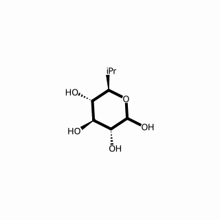 CC(C)[C@H]1OC(O)[C@H](O)[C@@H](O)[C@@H]1O